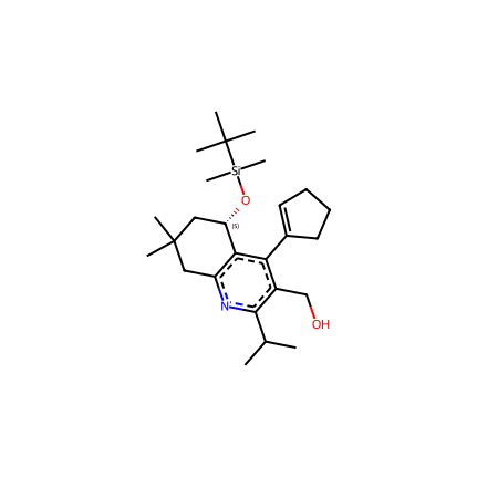 CC(C)c1nc2c(c(C3=CCCC3)c1CO)[C@@H](O[Si](C)(C)C(C)(C)C)CC(C)(C)C2